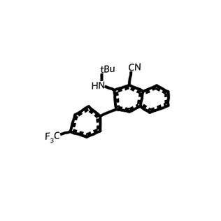 CC(C)(C)Nc1c(-c2ccc(C(F)(F)F)cc2)cc2ccccc2c1C#N